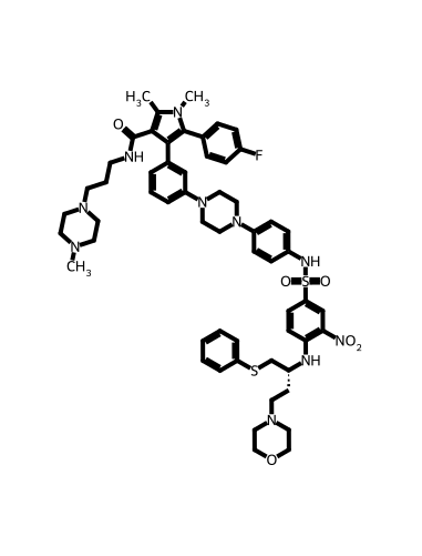 Cc1c(C(=O)NCCCN2CCN(C)CC2)c(-c2cccc(N3CCN(c4ccc(NS(=O)(=O)c5ccc(N[C@H](CCN6CCOCC6)CSc6ccccc6)c([N+](=O)[O-])c5)cc4)CC3)c2)c(-c2ccc(F)cc2)n1C